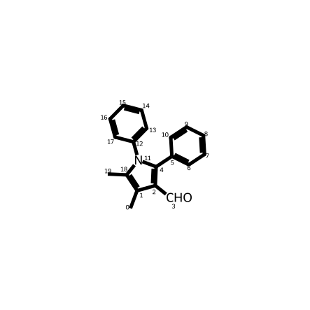 Cc1c(C=O)c(-c2ccccc2)n(-c2ccccc2)c1C